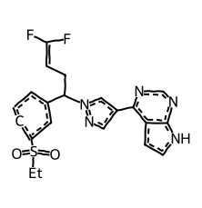 CCS(=O)(=O)c1cccc(C(CC=C(F)F)n2cc(-c3ncnc4[nH]ccc34)cn2)c1